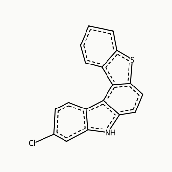 Clc1ccc2c(c1)[nH]c1ccc3sc4ccccc4c3c12